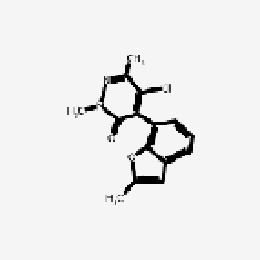 Cc1cc2cccc(-c3c(Cl)c(C)nn(C)c3=O)c2o1